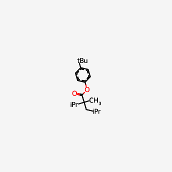 CC(C)CC(C)(C(=O)Oc1ccc(C(C)(C)C)cc1)C(C)C